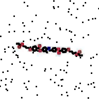 C=CC(=O)OCCCCOc1ccc(C(=O)Oc2ccc(/C=N/c3ccc(OC(=O)c4ccc(OCCCCOC(=O)C=C)cc4)cc3C)cc2)cc1